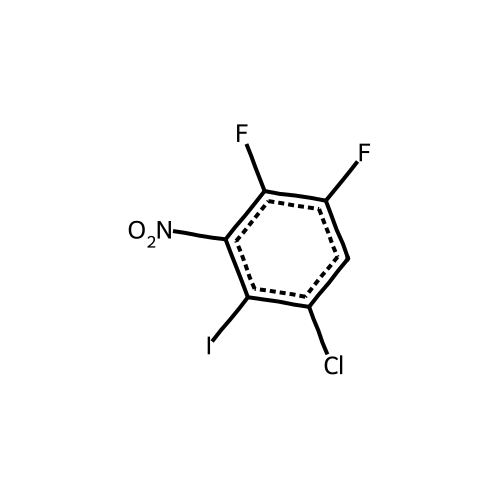 O=[N+]([O-])c1c(F)c(F)cc(Cl)c1I